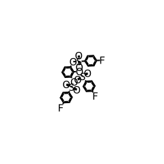 O=S(=O)(Oc1cccc(OS(=O)(=O)c2ccc(F)cc2)c1OS(=O)(=O)c1ccc(F)cc1)c1ccc(F)cc1